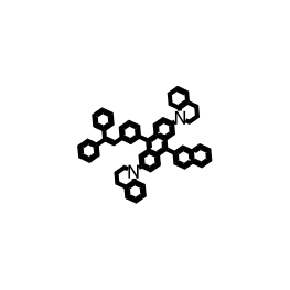 C1=CC2=C(CC1)N(c1ccc3c(-c4cccc(C=C(c5ccccc5)c5ccccc5)c4)c4cc(N5CCCc6ccccc65)ccc4c(-c4ccc5ccccc5c4)c3c1)CCC2